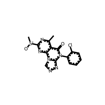 Cc1nc([S+](C)[O-])nc2c1c(=O)n(-c1ccccc1Cl)c1nncn21